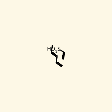 C=CC=CC.C=CS(=O)(=O)O